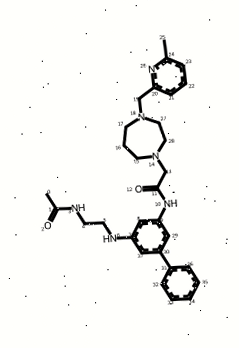 CC(=O)NCCNc1cc(NC(=O)CN2CCCN(Cc3cccc(C)n3)CC2)cc(-c2ccccc2)c1